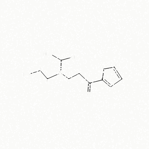 CC(C)N(CCO)CCC(=O)C1=CC=CC1